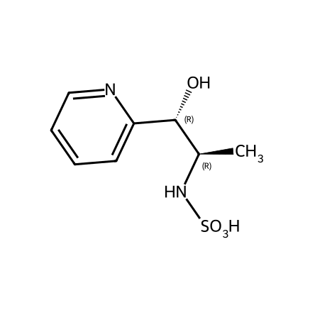 C[C@@H](NS(=O)(=O)O)[C@@H](O)c1ccccn1